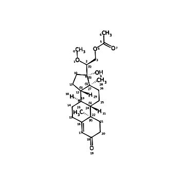 CO[C@@H](COC(C)=O)[C@]1(O)CC[C@H]2[C@@H]3CCC4=CC(=O)CC[C@]4(C)[C@H]3CC[C@@]21C